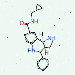 O=C(NCC1CC1)c1ccc2c(c1)[C@H]1NCC[C@H]1C(c1ccccc1)N2